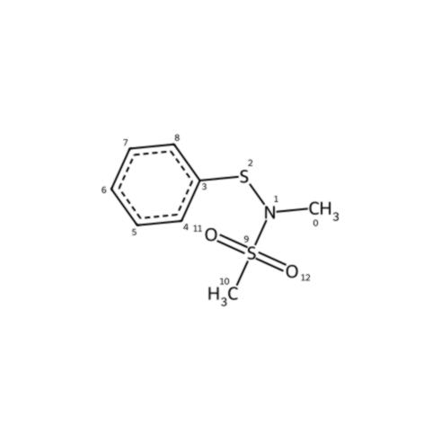 CN(Sc1ccccc1)S(C)(=O)=O